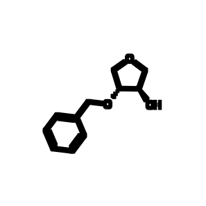 O[C@@H]1COC[C@H]1OCc1ccccc1